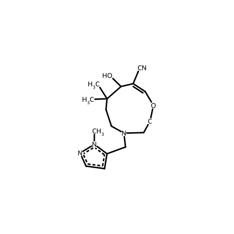 Cn1nccc1CN1CCO/C=C(/C#N)C(O)C(C)(C)CC1